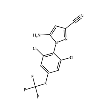 N#Cc1cc(N)n(-c2c(Cl)cc(SC(F)(F)F)cc2Cl)n1